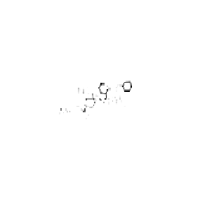 COC(=O)C1CCC(CC#N)(n2nc(N)c3c(OCc4ccccc4)nccc32)CO1